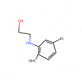 CCc1ccc(C=O)c(NCCO)c1